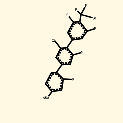 CCCCc1ccc(-c2cc(F)c(-c3cc(F)c(C(F)(F)Br)c(F)c3)c(Cl)c2)c(F)c1